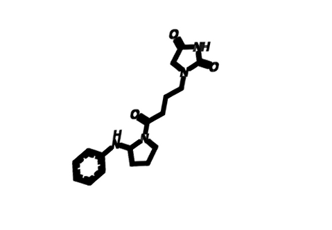 O=C1CN(CCCC(=O)N2CCCC2Nc2ccccc2)C(=O)N1